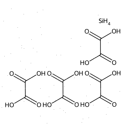 O=C(O)C(=O)O.O=C(O)C(=O)O.O=C(O)C(=O)O.O=C(O)C(=O)O.[SiH4]